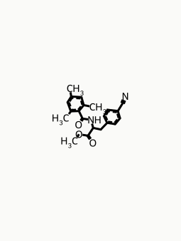 COC(=O)C(Cc1ccc(C#N)cc1)NC(=O)c1c(C)cc(C)cc1C